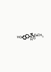 CCOC(=O)C1(NC2CCc3cc(O)ccc3C2)CC1